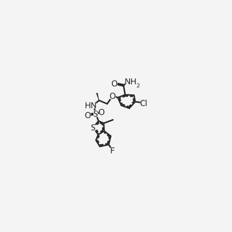 Cc1c(S(=O)(=O)N[C@@H](C)COc2ccc(Cl)cc2C(N)=O)sc2ccc(F)cc12